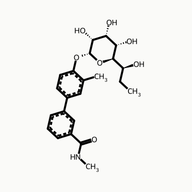 CC[C@H](O)[C@H]1O[C@H](Oc2ccc(-c3cccc(C(=O)NC)c3)cc2C)[C@H](O)[C@H](O)[C@@H]1O